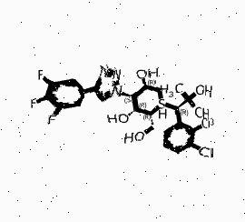 CC(C)(O)[C@@H](c1cccc(Cl)c1Cl)[SH]1C[C@H](O)[C@H](n2cc(-c3cc(F)c(F)c(F)c3)nn2)[C@@H](O)[C@H]1CO